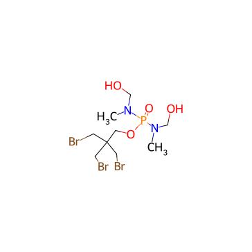 CN(CO)P(=O)(OCC(CBr)(CBr)CBr)N(C)CO